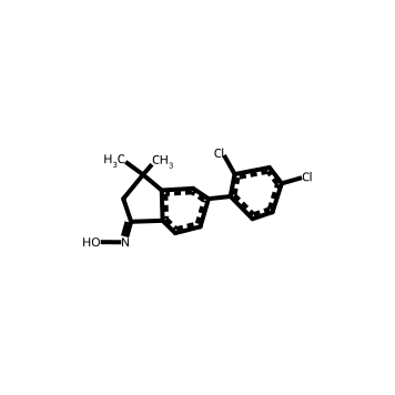 CC1(C)C/C(=N\O)c2ccc(-c3ccc(Cl)cc3Cl)cc21